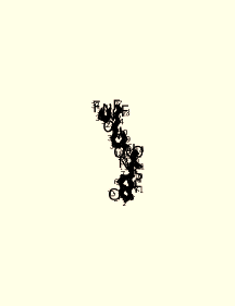 O=C1CCc2c1ccc(-c1scc3c(=O)n(CC4(O)CCN(C(=O)CC(C(F)F)n5ccc(F)n5)CC4)cnc13)c2F